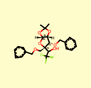 CC1(C)O[C@H]2O[C@@](COCc3ccccc3)(C(O)C(F)(F)F)[C@@H](OCc3ccccc3)[C@H]2O1